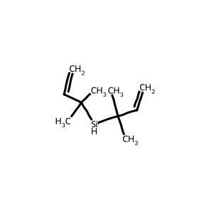 C=CC(C)(C)[SiH]C(C)(C)C=C